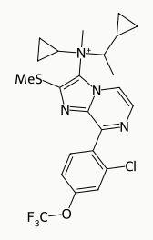 CSc1nc2c(-c3ccc(OC(F)(F)F)cc3Cl)nccn2c1[N+](C)(C1CC1)C(C)C1CC1